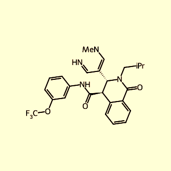 CN/C=C(\C=N)[C@H]1[C@H](C(=O)Nc2cccc(OC(F)(F)F)c2)c2ccccc2C(=O)N1CC(C)C